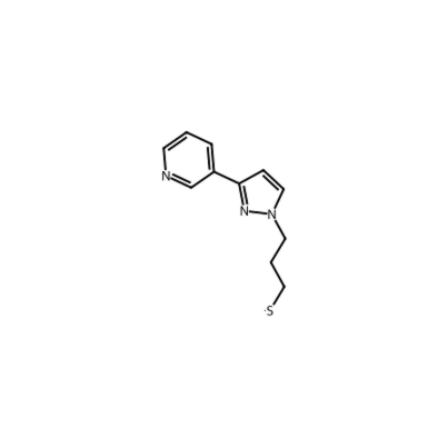 [S]CCCn1ccc(-c2cccnc2)n1